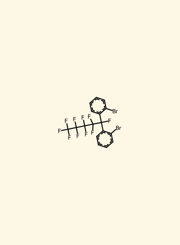 FC(F)(F)C(F)(F)C(F)(F)C(F)(F)C(F)(c1ccccc1Br)c1ccccc1Br